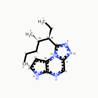 CCC[C@H](C)[C@@H](CC)c1nnc2cnc3[nH]ccc3n12